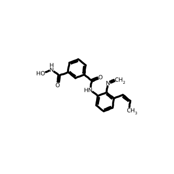 C=Nc1c(/C=C\C)cccc1NC(=O)c1cccc(C(=O)NO)c1